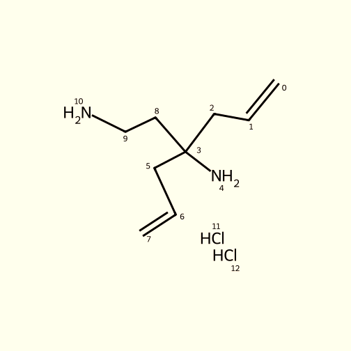 C=CCC(N)(CC=C)CCN.Cl.Cl